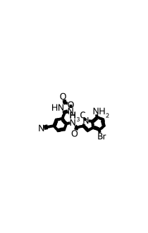 Cn1c(C(=O)Nc2ccc(C#N)cc2-c2noc(=O)[nH]2)cc2c(Br)ccc(N)c21